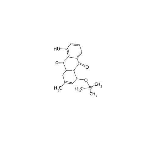 CC1=CC(O[Si](C)(C)C)C2C(=O)c3cccc(O)c3C(=O)C2C1